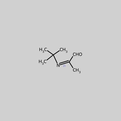 C/C(C=O)=N/C(C)(C)C